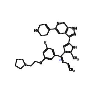 C=C/C=C(/c1cc(F)cc(OCCN2CCCC2)c1)c1cc(-c2n[nH]c3cnc(C4=CCNCC4)cc23)[nH]c1C